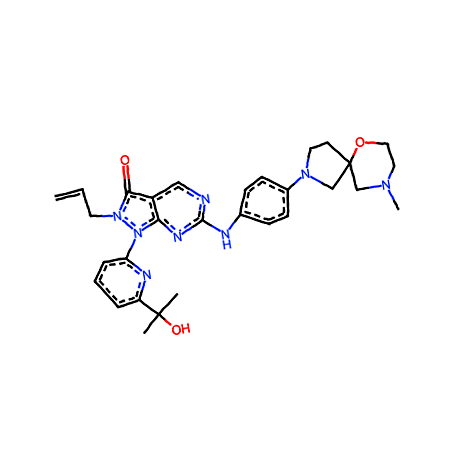 C=CCn1c(=O)c2cnc(Nc3ccc(N4CCC5(CN(C)CCO5)C4)cc3)nc2n1-c1cccc(C(C)(C)O)n1